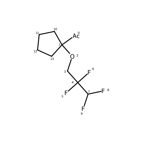 CC(=O)C1(OCC(F)(F)C(F)F)CCCC1